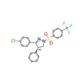 O=S(=O)(c1ccc(C(F)(F)F)cc1)N1C[C@@H](c2ccccc2)C(c2ccc(Cl)cc2)=N1